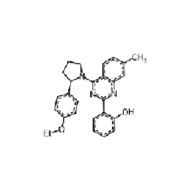 CCOc1ccc(C2CCCN2c2nc(-c3ccccc3O)nc3cc(C)ccc23)cc1